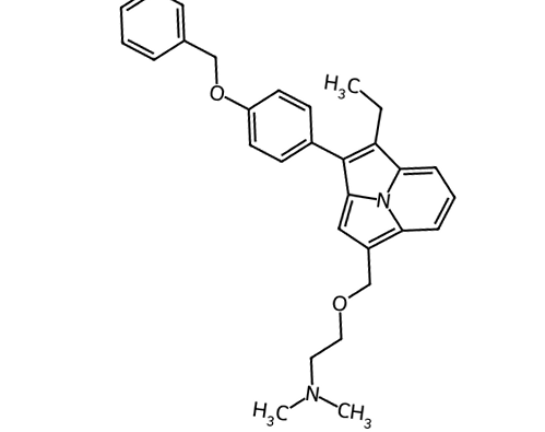 CCc1c(-c2ccc(OCc3ccccc3)cc2)c2cc(COCCN(C)C)c3cccc1n32